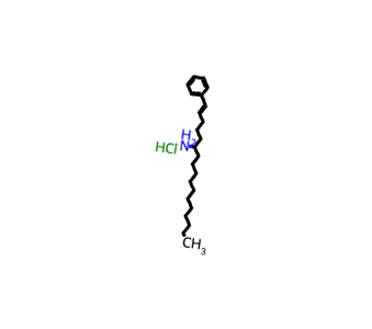 CCCCCCCCCCCC(N)CCCC=Cc1ccccc1.Cl